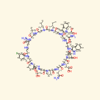 CCCC[C@H]1C(=O)N(C)[C@@H](CCCC)C(=O)N[C@@H](CC(C)C)C(=O)N[C@H](C(N)=O)CNCC(=O)N[C@@H](Cc2ccc(F)cc2)C(=O)N2CCCC[C@H]2C(=O)N[C@@H](CC(=O)O)C(=O)N2CCCC2C(=O)N[C@@H](CCC(N)=O)C(=O)N[C@@H](CCC(=O)O)C(=O)N2C[C@H](O)C[C@H]2C(=O)N[C@@H](Cc2c[nH]c3ccccc23)C(=O)N[C@@H](CC(N)=O)C(=O)N[C@@H](Cc2cn(CC(=O)O)c3ccccc23)C(=O)N1C